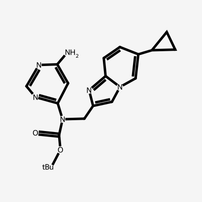 CC(C)(C)OC(=O)N(Cc1cn2cc(C3CC3)ccc2n1)c1cc(N)ncn1